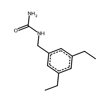 CCc1cc(CC)cc(CNC(N)=O)c1